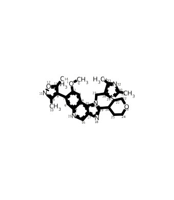 COc1cc2c(cc1-c1c(C)noc1C)ncc1nc(C3CCOCC3)n(Cc3sc(C)nc3C)c12